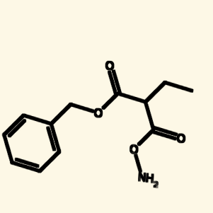 CCC(C(=O)ON)C(=O)OCc1ccccc1